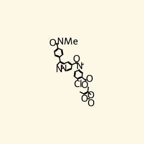 CNC(=O)c1ccc(-c2cnn3ccc(C(=O)N(C)c4ccc(Cl)c(C(=O)OCc5oc(=O)oc5C)c4)cc23)cc1